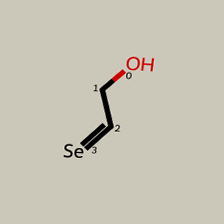 OCC=[Se]